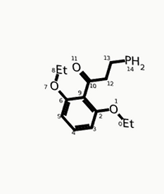 CCOc1cccc(OCC)c1C(=O)CCP